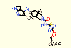 COCCOc1nsc(NC(=O)N2CC3C[C@@H](Nc4c(C#N)cnc5[nH]ccc45)C[C@@H]3C2)n1